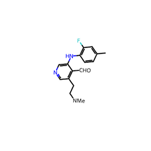 CNCCc1cncc(Nc2ccc(C)cc2F)c1C=O